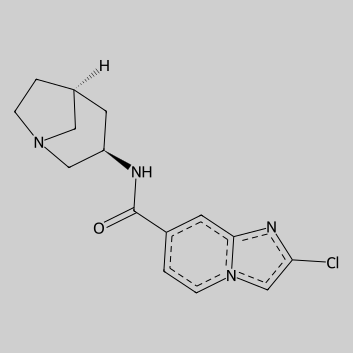 O=C(N[C@@H]1C[C@@H]2CCN(C2)C1)c1ccn2cc(Cl)nc2c1